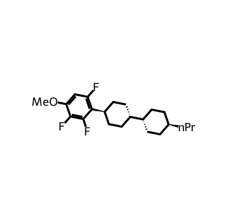 CCC[C@H]1CC[C@H]([C@H]2CC[C@H](c3c(F)cc(OC)c(F)c3F)CC2)CC1